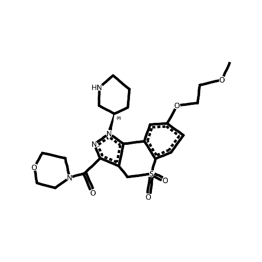 COCCOc1ccc2c(c1)-c1c(c(C(=O)N3CCOCC3)nn1[C@@H]1CCCNC1)CS2(=O)=O